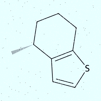 C[C@@H]1CCCc2sccc21